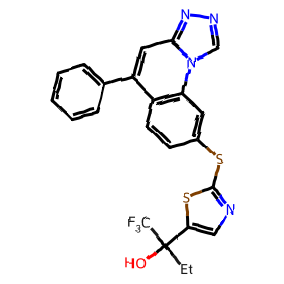 CCC(O)(c1cnc(Sc2ccc3c(-c4ccccc4)cc4nncn4c3c2)s1)C(F)(F)F